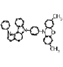 Cc1ccc2c(c1)Oc1cc(C)ccc1N2c1ccc(-n2c3ccccc3c3c4c(ccc32)ccn4-c2ccccc2)cc1